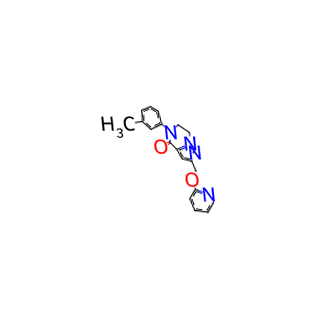 Cc1cccc(N2CCn3nc(COc4ccccn4)cc3C2=O)c1